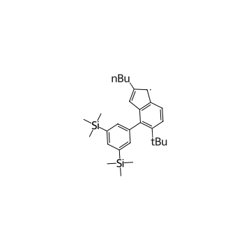 CCCCC1=Cc2c(ccc(C(C)(C)C)c2-c2cc([Si](C)(C)C)cc([Si](C)(C)C)c2)[CH]1